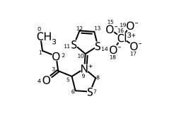 CCOC(=O)C1CSC[N+]1=c1sccs1.[O-][Cl+3]([O-])([O-])[O-]